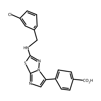 O=C(O)c1ccc(-c2cnc3sc(NCc4cccc(Cl)c4)nn23)cc1